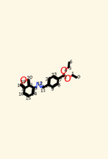 CCOC(OCC)c1ccc(C=Nc2cccc3cocc23)cc1